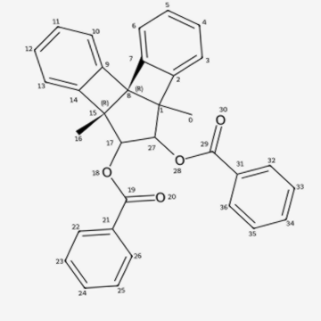 CC12c3ccccc3[C@@]13c1ccccc1[C@@]3(C)C(OC(=O)c1ccccc1)C2OC(=O)c1ccccc1